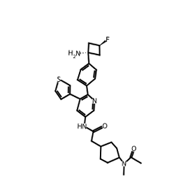 CC(=O)N(C)C1CCC(CC(=O)Nc2cnc(-c3ccc([C@]4(N)C[C@H](F)C4)cc3)c(-c3ccsc3)c2)CC1